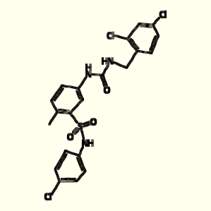 Cc1ccc(NC(=O)NCc2ccc(Cl)cc2Cl)cc1S(=O)(=O)Nc1ccc(Cl)cc1